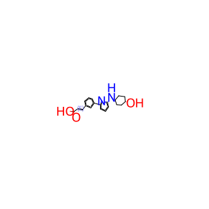 O=C(O)/C=C/c1cccc(-c2cccc(N[C@H]3CC[C@@H](O)CC3)n2)c1